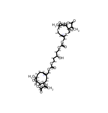 C=C1C(=O)O[C@H]2[C@H]1CC/C(COC(=O)OCCC(O)CCOC(=O)OC/C1=C/CC[C@@]3(C)O[C@H]3[C@H]3OC(=O)C(=C)[C@@H]3CC1)=C\CC[C@@]1(C)O[C@@H]21